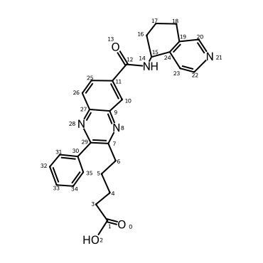 O=C(O)CCCCc1nc2cc(C(=O)NC3CCCc4cnccc43)ccc2nc1-c1ccccc1